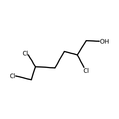 OCC(Cl)CCC(Cl)CCl